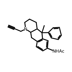 C#CCN1CCCC2C1Cc1ccc(NC(C)=O)cc1C2(C)c1ccccc1